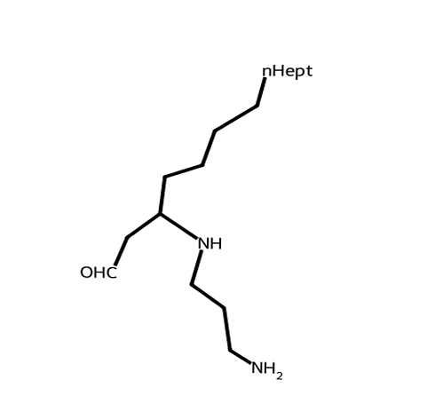 CCCCCCCCCCCC(CC=O)NCCCN